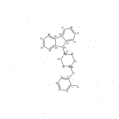 Cc1ccccc1CN1CCN(C2c3ccccc3-c3ccccc32)CC1